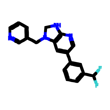 FC(F)c1cccc(-c2cnc3c(c2)N(Cc2cccnc2)CN3)c1